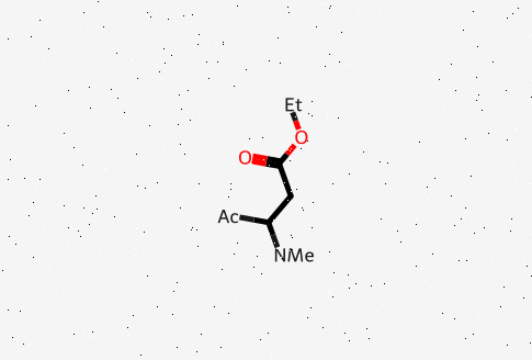 CCOC(=O)CC(NC)C(C)=O